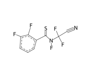 N#CC(F)(F)N(F)C(=S)c1cccc(F)c1F